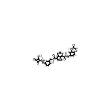 Nc1c(NCc2cccc(CNC(=O)c3c[nH]c4c(C(=O)NCc5ccc6c(c5)NC(=O)CO6)ncnc34)c2)c(=O)c1=O